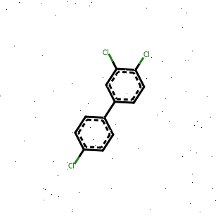 Clc1[c]cc(-c2ccc(Cl)c(Cl)c2)cc1